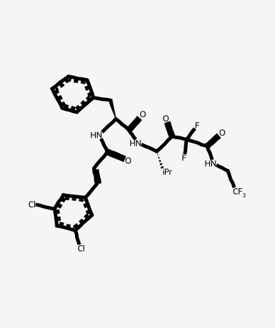 CC(C)[C@H](NC(=O)[C@H](Cc1ccccc1)NC(=O)/C=C/c1cc(Cl)cc(Cl)c1)C(=O)C(F)(F)C(=O)NCC(F)(F)F